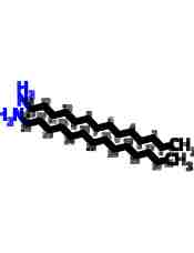 CCCCCCCCCCCCCCN.CCCCCCCCCCCCCCN